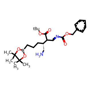 CC(C)(C)OC(=O)C(/C=N/C(=O)OCc1ccccc1)[C@H](CN)CCCB1OC(C)(C)C(C)(C)O1